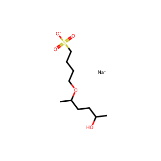 CC(O)CCC(C)OCCCCS(=O)(=O)[O-].[Na+]